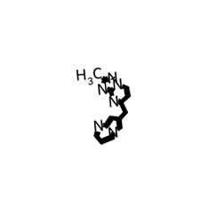 Cc1nc2nc(Cc3cc4ncccn4c3)ccn2n1